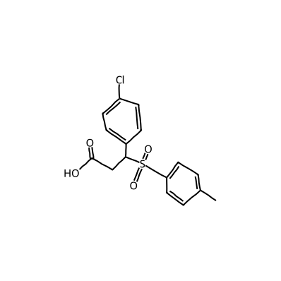 Cc1ccc(S(=O)(=O)C(CC(=O)O)c2ccc(Cl)cc2)cc1